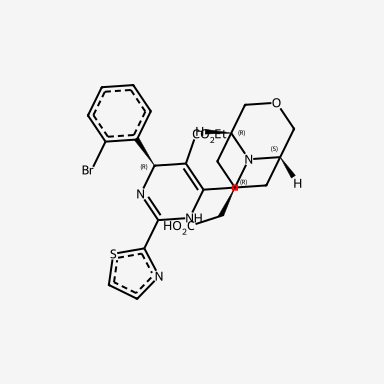 CCOC(=O)C1=C(CN2[C@@H]3COC[C@H]2C[C@H](CC(=O)O)C3)NC(c2nccs2)=N[C@H]1c1ccccc1Br